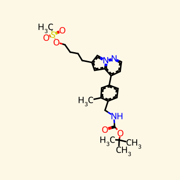 Cc1cc(-c2ccnn3cc(CCCCOS(C)(=O)=O)cc23)ccc1CNC(=O)OC(C)(C)C